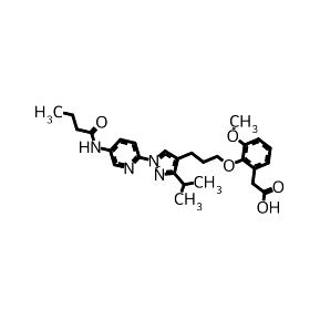 CCCC(=O)Nc1ccc(-n2cc(CCCOc3c(CC(=O)O)cccc3OC)c(C(C)C)n2)nc1